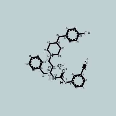 N#Cc1cccc(NC(=O)N[C@@H](Cc2ccccc2)[C@@H](O)CN2CCC(Cc3ccc(F)cc3)CC2)c1